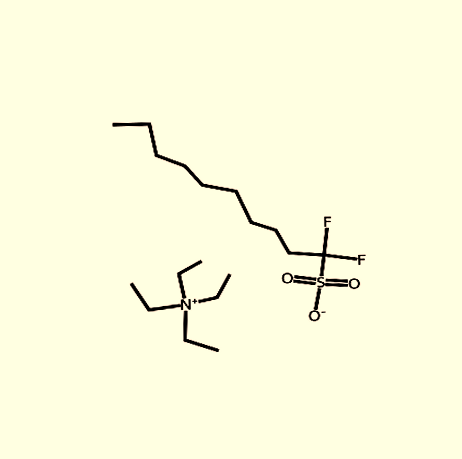 CCCCCCCCCC(F)(F)S(=O)(=O)[O-].CC[N+](CC)(CC)CC